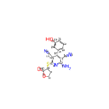 N#Cc1c(N)nc(SC2CCOC2=O)c(C#N)c1-c1cccc(O)c1